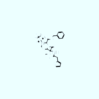 COC1(NC(=O)Cc2cccs2)C(=O)N2C(C(=O)OCc3ccccc3)N(S(=O)(=O)C(F)(F)F)CSC21